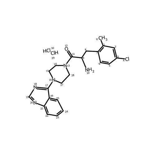 Cc1cc(Cl)ccc1CC(N)C(=O)N1CCN(c2ncnc3ccccc23)CC1.Cl.Cl